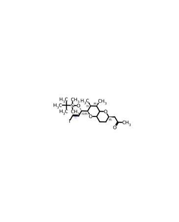 CC(=O)C[C@H]1CCC2O[C@@H]([C@H](/C=C/I)O[Si](C)(C)C(C)(C)C)[C@@H](C)[C@@H](C)C2O1